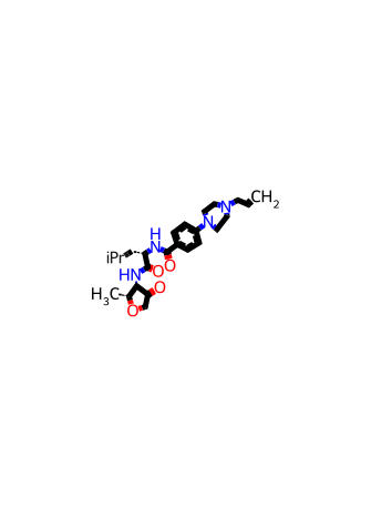 C=CCN1CCN(c2ccc(C(=O)N[C@@H](CC(C)C)C(=O)N[C@@H]3C(=O)CO[C@@H]3C)cc2)CC1